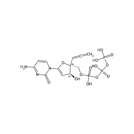 C=C=C[C@]1(COP(=O)(O)OP(=O)(O)OP(=O)(O)O)OC(n2ccc(N)nc2=O)=C[C@@H]1O